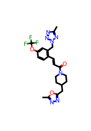 Cc1nnn(Cc2cc(OC(F)(F)F)ccc2C=CC(=O)N2CCC(Cc3nnc(C)o3)CC2)n1